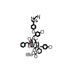 C[C@@H](C(=O)N1[C@H](C(=O)N[C@@]2(Cc3ccc(Cl)cc3)CCCN(C(=O)OC(C)(C)C)C2)COC1(C)C)N(Cc1ccc(Cl)cc1Oc1ccc(-c2cnc(CN(C)C)n2C)cc1)C(=O)O[C@@H](Cc1ccccc1)C(=O)O